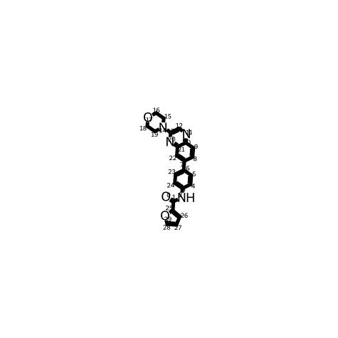 O=C(Nc1ccc(-c2ccc3ncc(N4CCOCC4)nc3c2)cc1)c1ccco1